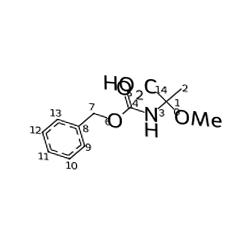 COC(C)(NC(=O)OCc1ccccc1)C(=O)O